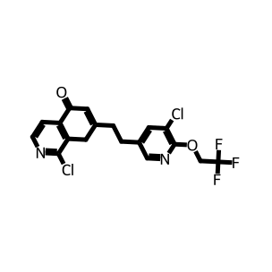 O=C1C=C(CCc2cnc(OCC(F)(F)F)c(Cl)c2)Cc2c1ccnc2Cl